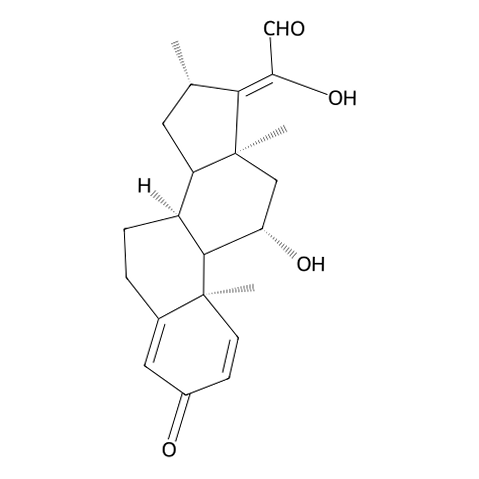 C[C@H]1CC2[C@@H]3CCC4=CC(=O)C=C[C@]4(C)C3[C@@H](O)C[C@]2(C)/C1=C(\O)C=O